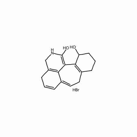 Br.OC1=C2C3=C(CC=CC3=CCC3=C2C(O)CCC3)CN1